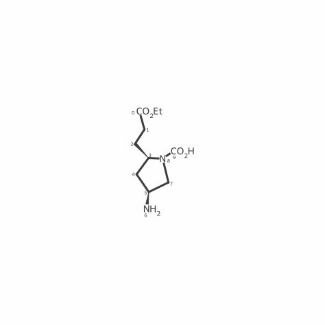 CCOC(=O)CC[C@@H]1C[C@H](N)CN1C(=O)O